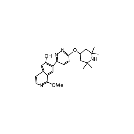 COc1nccc2cc(O)c(-c3ccc(OC4CC(C)(C)NC(C)(C)C4)nn3)cc12